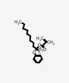 C=C(C)C(=O)OC(C)(CCCCCCCCC)Oc1ccccc1